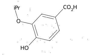 CC(C)Oc1cc(C(=O)O)ccc1O